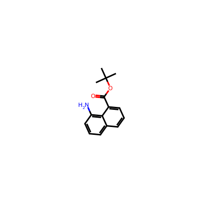 CC(C)(C)OC(=O)c1cccc2cccc(N)c12